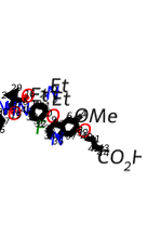 CCN(CC)CC.COc1cc2c(Oc3ccc(NC(=O)C4(C(=O)Nc5ccc(F)cc5)CC4)cc3F)ccnc2cc1OCCCCC(=O)O